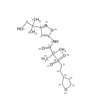 CC(C)(CO)c1cc(NC(=O)C(C)(C)S(=O)(=O)CCC2CCOC2)on1